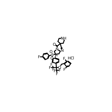 Cl.N#CC1(C(=O)N2CC[C@](c3ccc(C(OCc4c(F)cccc4F)(C(F)(F)F)C(F)(F)F)cc3)(S(=O)(=O)c3ccc(F)cc3)C2)CCNCC1